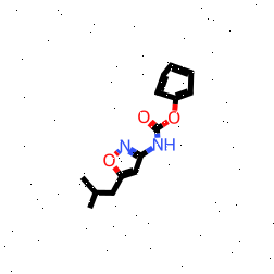 CC(C)Cc1cc(NC(=O)Oc2ccccc2)no1